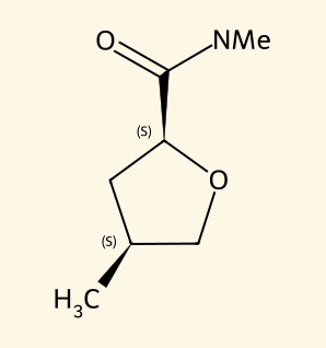 CNC(=O)[C@@H]1C[C@H](C)CO1